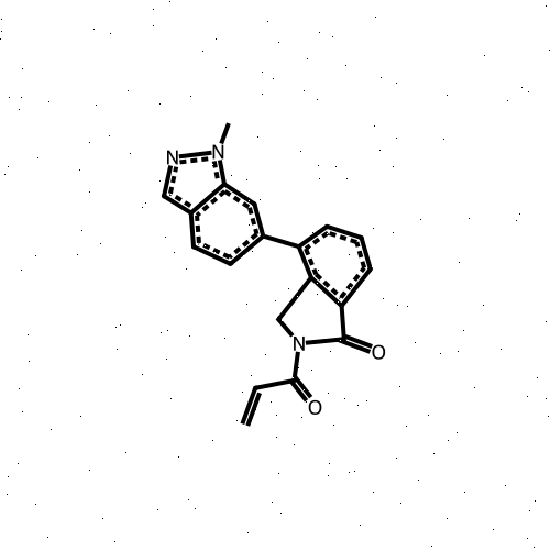 C=CC(=O)N1Cc2c(cccc2-c2ccc3cnn(C)c3c2)C1=O